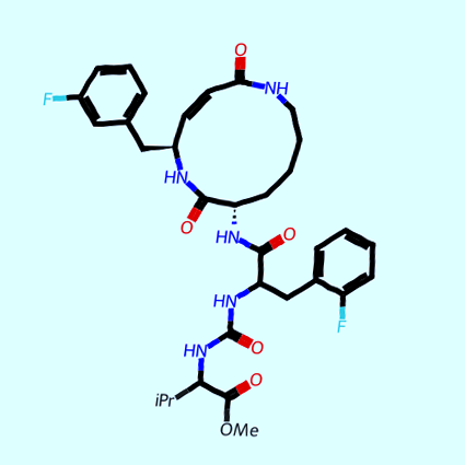 COC(=O)C(NC(=O)NC(Cc1ccccc1F)C(=O)N[C@H]1CCCCNC(=O)C=C[C@H](Cc2cccc(F)c2)NC1=O)C(C)C